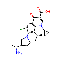 C=C(C)c1c(N2CCC(C(C)N)C2)c(F)cc2c(=O)c(C(=O)O)cn(C3CC3)c12